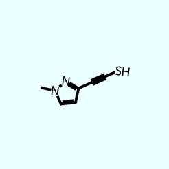 Cn1ccc(C#CS)n1